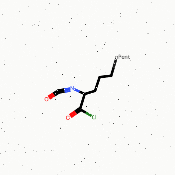 CCCCCCCCC(N=C=O)C(=O)Cl